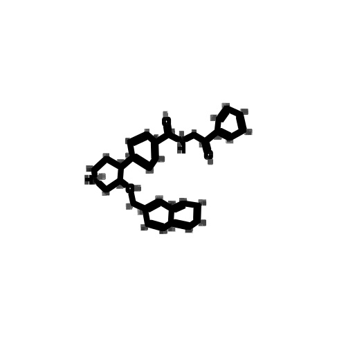 O=C(CNC(=O)c1ccc(C2CCNCC2OCc2ccc3ccccc3c2)cc1)c1ccccc1